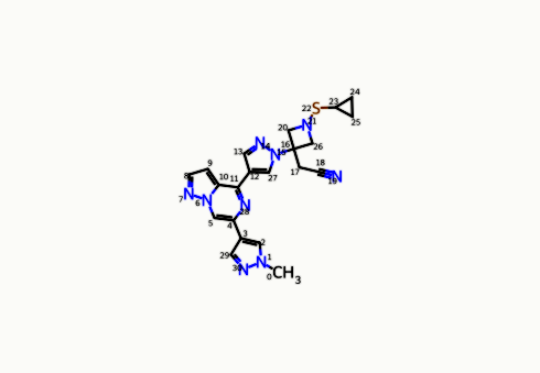 Cn1cc(-c2cn3nccc3c(-c3cnn(C4(CC#N)CN(SC5CC5)C4)c3)n2)cn1